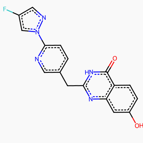 O=c1[nH]c(Cc2ccc(-n3cc(F)cn3)nc2)nc2cc(O)ccc12